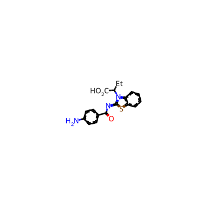 CCC(C(=O)O)n1c(=NC(=O)c2ccc(N)cc2)sc2ccccc21